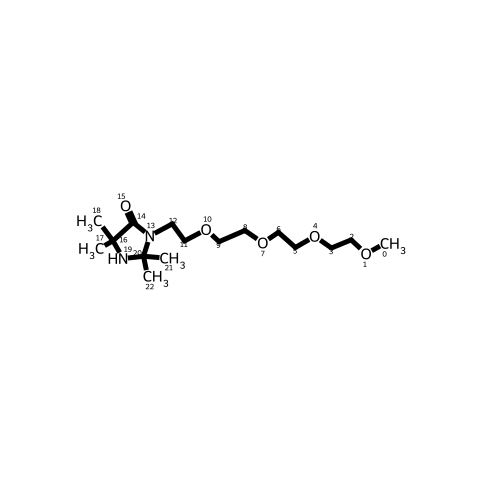 COCCOCCOCCOCCN1C(=O)C(C)(C)NC1(C)C